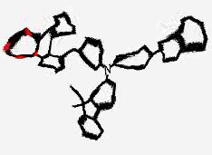 CC1(C)c2ccccc2-c2ccc(N(c3ccc(-c4ccc5ccccc5c4)cc3)c3cccc(-c4cccc(-c5ccccc5)c4-c4ccccc4-c4ccccc4)c3)cc21